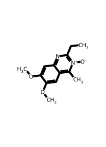 CCc1nc2cc(OC)c(OC)cc2c(C)[n+]1[O-]